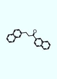 O=C(CCc1ccc2ccccc2c1)c1ccc2ccccc2c1